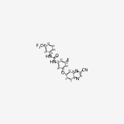 N#Cc1cnc2ccc(Oc3cc(F)cc(NC(=O)Nc4cccc(C(F)(F)F)c4)c3)cc2n1